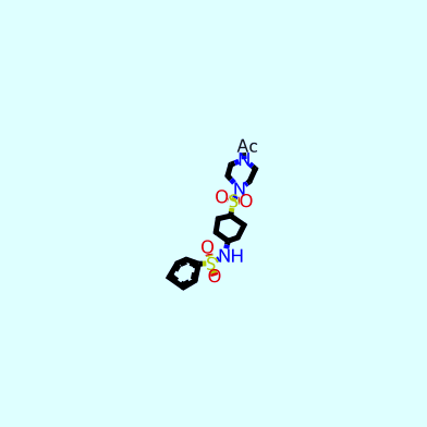 CC(=O)N1CCN(S(=O)(=O)C2CCC(NS(=O)(=O)c3ccccc3)CC2)CC1